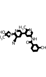 Cc1cccc(C(=O)Nc2cnc(C)c(-c3cnc(N4CC(C)(O)C4)c(C#N)c3)c2)c1